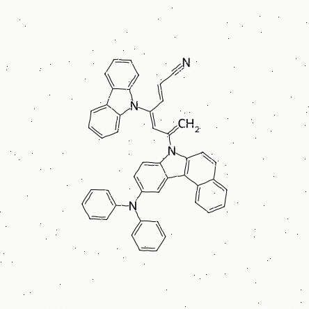 C=C(/C=C(\C=C\C#N)n1c2ccccc2c2ccccc21)n1c2ccc(N(c3ccccc3)c3ccccc3)cc2c2c3ccccc3ccc21